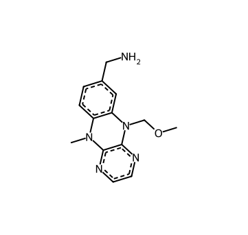 COCN1c2cc(CN)ccc2N(C)c2nccnc21